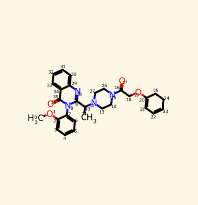 COc1ccccc1-n1c(C(C)N2CCN(C(=O)COC3=CC=CCC3)CC2)nc2ccccc2c1=O